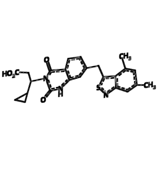 Cc1cc(C)c2c(Cc3ccc4c(=O)n(C(CC(=O)O)C5CC5)c(=O)[nH]c4c3)snc2c1